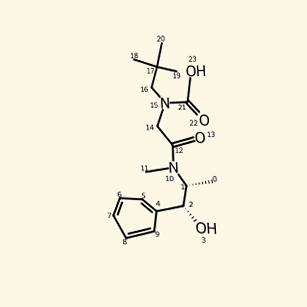 C[C@H]([C@H](O)c1ccccc1)N(C)C(=O)CN(CC(C)(C)C)C(=O)O